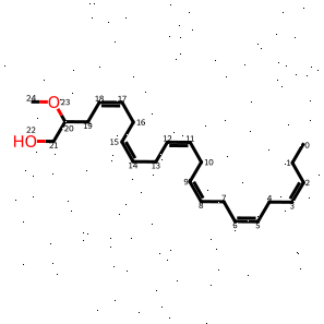 CC/C=C\C/C=C\C/C=C\C/C=C\C/C=C\C/C=C\CC(CO)OC